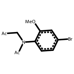 COc1cc(Br)ccc1N(CC(C)=O)C(C)=O